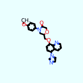 COc1ccc(N2CC(COc3ccc(-n4ccnc4)c4cccnc34)OCC2=O)cc1